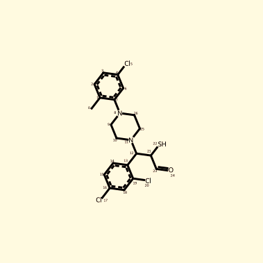 Cc1ccc(Cl)cc1N1CCN(C(c2ccc(Cl)cc2Cl)C(S)C=O)CC1